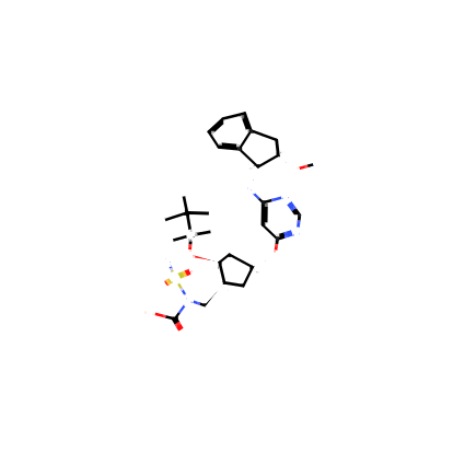 CO[C@H]1Cc2ccccc2[C@H]1Nc1cc(O[C@@H]2C[C@@H](CN(C(=O)O)S(N)(=O)=O)[C@@H](O[Si](C)(C)C(C)(C)C)C2)ncn1